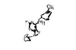 COc1cccc(CNc2nc(F)nc3c2ncn3C2CCCO2)c1